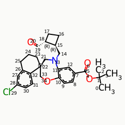 CC(C)(C)OC(=O)c1ccc2c(c1)N(C[C@@H]1CC[C@H]1C=O)C[C@@]1(CCCc3cc(Cl)ccc31)CO2